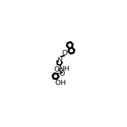 O=S(=O)(NC1CCN(CCOc2cccc3ccccc23)C1)c1cccc(O)c1